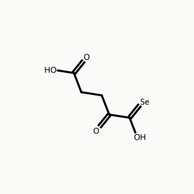 O=C(O)CCC(=O)C(O)=[Se]